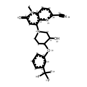 Cn1c(=O)cc(N2CCC(Oc3cccc(C(F)(F)F)c3)C(O)C2)c2nc(C#N)ccc21